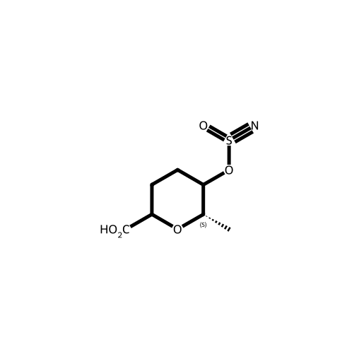 C[C@@H]1OC(C(=O)O)CCC1OS(#N)=O